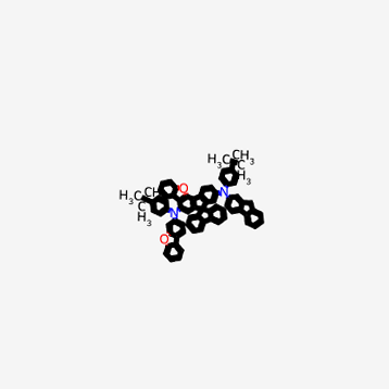 CC(C)(C)c1ccc(N(c2ccc3c(c2)Cc2ccccc2-3)c2ccc3c(c2)C2(c4ccccc4-c4ccccc42)c2cc(N(c4ccc(C(C)(C)C)cc4)c4ccc5c(c4)oc4ccccc45)c4c(c2-3)OC2C=CC=CC42)cc1